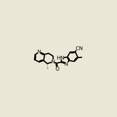 Cc1cc2nc(C(=O)N3CCc4ncccc4[C@H]3C)[nH]c2cc1C#N